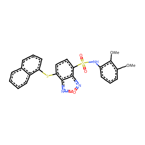 COc1cccc(NS(=O)(=O)c2ccc(Sc3cccc4ccccc34)c3nonc23)c1OC